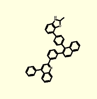 CC1Nc2cccc(-c3ccc(-c4c(-c5cccc(-c6cc(-c7ccccc7)c7ccccc7n6)c5)ccc5ccccc45)cc3)c2O1